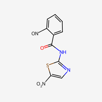 O=Nc1ccccc1C(=O)Nc1ncc([N+](=O)[O-])s1